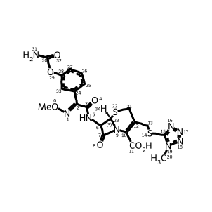 CON=C(C(=O)NC1C(=O)N2C(C(=O)O)=C(CSc3nnnn3C)CS[C@@H]12)c1cccc(OC(N)=O)c1